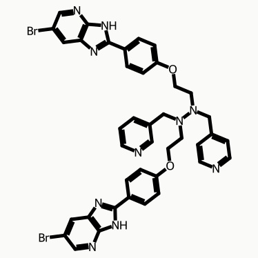 Brc1cnc2[nH]c(-c3ccc(OCCN(Cc4ccncc4)N(CCOc4ccc(-c5nc6cc(Br)cnc6[nH]5)cc4)Cc4cccnc4)cc3)nc2c1